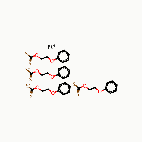 S=C([S-])OCCOc1ccccc1.S=C([S-])OCCOc1ccccc1.S=C([S-])OCCOc1ccccc1.S=C([S-])OCCOc1ccccc1.[Pt+4]